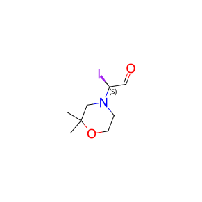 CC1(C)CN([C@@H](I)C=O)CCO1